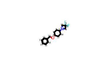 FC1(F)CN(C2CCC(OCc3ccccc3)CC2)C1